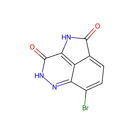 O=C1Nc2c(=O)[nH]nc3c(Br)ccc1c23